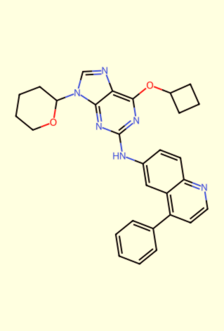 c1ccc(-c2ccnc3ccc(Nc4nc(OC5CCC5)c5ncn(C6CCCCO6)c5n4)cc23)cc1